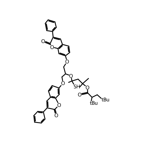 CC(C)(C)CC(C(=O)OC(C)(C)CC(C)(S)OC(COc1ccc2cc(-c3ccccc3)c(=O)oc2c1)COc1ccc2cc(-c3ccccc3)c(=O)oc2c1)C(C)(C)C